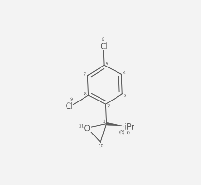 [CH2][C@H](C)C1(c2ccc(Cl)cc2Cl)CO1